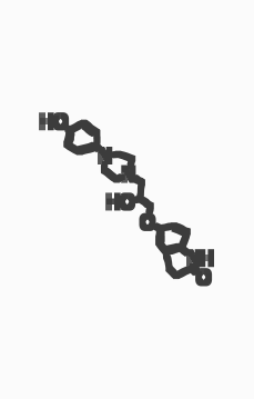 O=C1CCc2cc(OCC(O)CN3CCN(c4ccc(O)cc4)CC3)ccc2N1